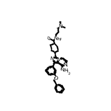 CN(C)CCCNC(=O)C1CCC(c2nc(-c3cccc(OCc4ccccc4)c3)c3c(N)nccn23)CC1